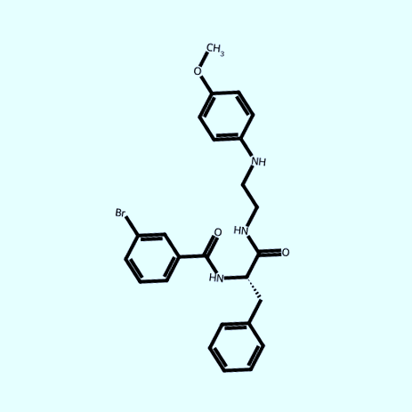 COc1ccc(NCCNC(=O)[C@H](Cc2ccccc2)NC(=O)c2cccc(Br)c2)cc1